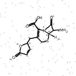 NC1C(=O)N2C(C(=O)O)=C(CC3C=CC(=O)O3)CS[C@@H]12